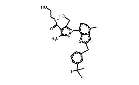 Cc1nn(-c2ccc(F)c3cc(Cc4cccc(C(F)(F)F)c4)sc23)c(CO)c1C(=O)NCCO